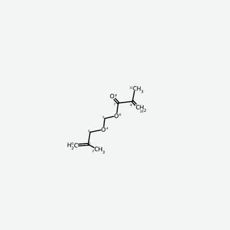 C=C(C)COCOC(=O)C(=C)C